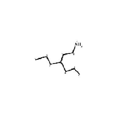 CCCC(CCC)C[CH2][AlH2]